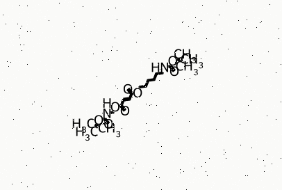 CC(C)(C)OC(=O)NCCCCCCOC(=O)/C=C/C(=O)OCNC(=O)OC(C)(C)C